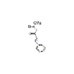 COC(=O)CC(=O)/C=C/c1ccccc1